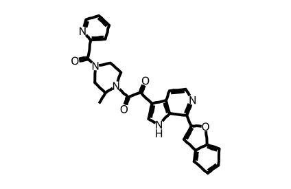 CC1CN(C(=O)c2ccccn2)CCN1C(=O)C(=O)c1c[nH]c2c(-c3cc4ccccc4o3)nccc12